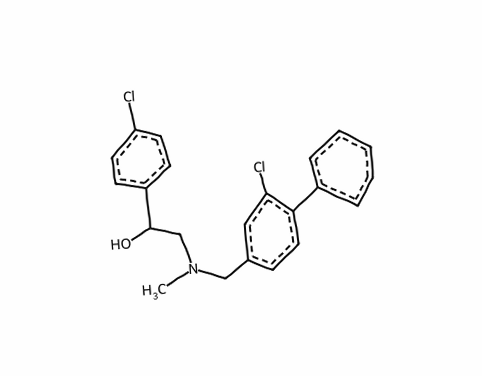 CN(Cc1ccc(-c2ccccc2)c(Cl)c1)CC(O)c1ccc(Cl)cc1